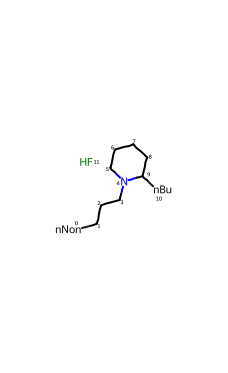 CCCCCCCCCCCCN1CCCCC1CCCC.F